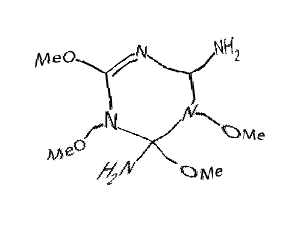 COC1=NC(N)N(OC)C(N)(OC)N1OC